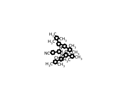 Cc1cc(C)c(-c2ccc3c(c2)c2ccc(-c4c(C)cc(C)cc4C)cc2n3-c2cc(-c3ccc(C#N)cc3)cc(-n3c4ccc(-c5c(C)cc(C)cc5C)cc4c4ccc(-c5c(C)cc(C)cc5C)cc43)c2)c(C)c1